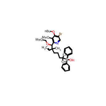 C=CC(C)(CCCC(C)(C)[Si](O)(c1ccccc1)c1ccccc1)C(OCOC)c1ncc(Br)c(OCCCC)c1OC